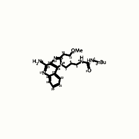 CCCCNC(=O)NCCCn1c(CCOC)nc2c(N)nc3ccccc3c21